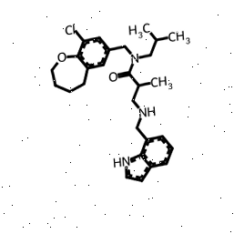 CC(C)CN(Cc1cc(Cl)c2c(c1)CCCCO2)C(=O)C(C)CNCc1cccc2cc[nH]c12